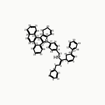 C1=CC(/C(=C/Cc2ccccc2)NCc2ccc(-n3c4c(c5c6c7ccccc7ccc6c6ccccc6c53)CCC=C4)cc2)CC(c2ccccc2)=C1